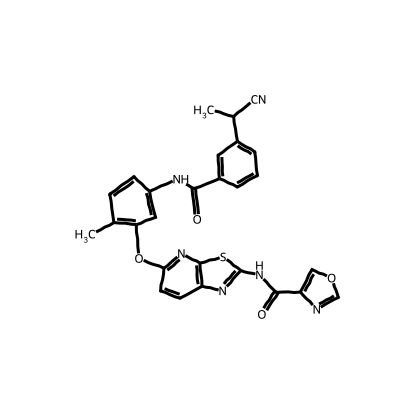 Cc1ccc(NC(=O)c2cccc(C(C)C#N)c2)cc1Oc1ccc2nc(NC(=O)c3cocn3)sc2n1